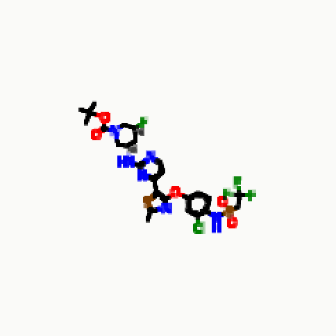 Cc1nc(Oc2ccc(NS(=O)(=O)CC(F)(F)F)c(Cl)c2)c(-c2ccnc(N[C@H]3C[C@H](F)CN(C(=O)OC(C)(C)C)C3)n2)s1